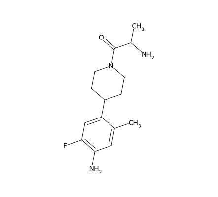 Cc1cc(N)c(F)cc1C1CCN(C(=O)C(C)N)CC1